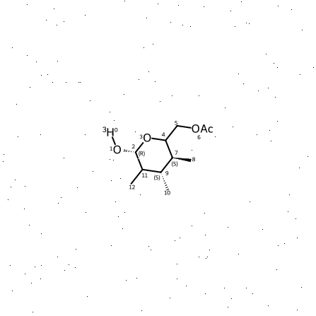 [3H]O[C@@H]1OC(COC(C)=O)[C@@H](C)[C@H](C)C1C